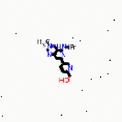 CC(C)Nc1nc(-c2ccc(CO)nc2)cc2c1CN(C)C=N2